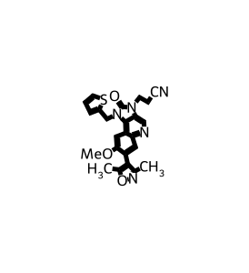 COc1cc2c(cc1-c1c(C)noc1C)ncc1c2n(Cc2cccs2)c(=O)n1CCC#N